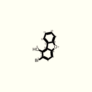 Oc1c(Br)ccc2oc3ccccc3c12